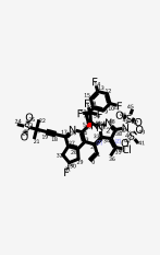 C=C/C(c1c([C@@H](N)Cc2cc(F)cc(F)c2)nc(C#CC(C)(C)S(C)(=O)=O)c2c1C[C@H](F)C2)=c1\c(=C(/C)Cl)c(N(S(C)(=O)=O)S(C)(=O)=O)nn1CC(F)(F)F